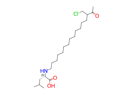 CC(=O)C(CCl)CCCCCCCCCCCCCN[C@@H](CC(C)C)C(=O)O